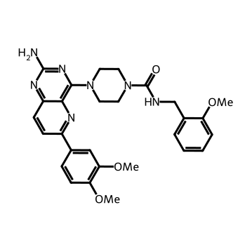 COc1ccccc1CNC(=O)N1CCN(c2nc(N)nc3ccc(-c4ccc(OC)c(OC)c4)nc23)CC1